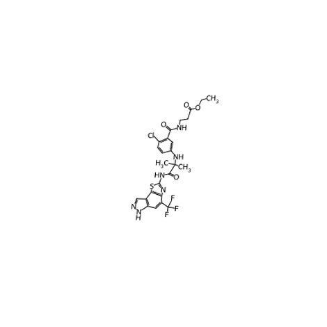 CCOC(=O)CCNC(=O)c1cc(NC(C)(C)C(=O)Nc2nc3c(C(F)(F)F)cc4[nH]ncc4c3s2)ccc1Cl